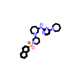 O=S(=O)(c1ccc2ccccc2c1)N1CCCC(N2CCCCC(Nc3nccc(N4CCCCCC4)n3)C2)C1